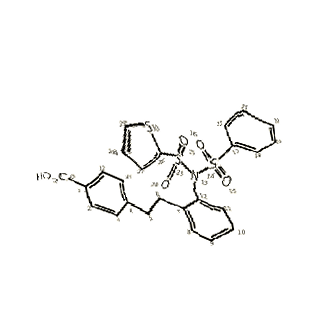 O=C(O)c1ccc(CCc2ccccc2N(S(=O)(=O)c2ccccc2)S(=O)(=O)c2cccs2)cc1